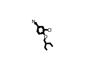 CCC(CC)COc1ccc(C#N)cc1Cl